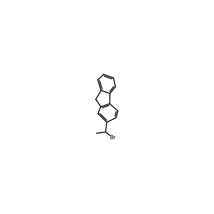 CC(Br)c1[c]c2c(cc1)-c1ccccc1C2